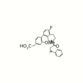 COc1cc(CC(=O)O)ccc1-c1ccc(F)c2c1CN(C(=O)C[C@@H](C)c1ccccc1)CC2